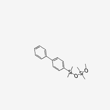 CO[Si](C)(C)O[Si](C)(C)c1ccc(-c2ccccc2)cc1